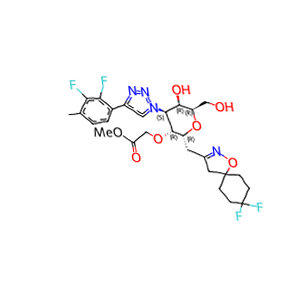 COC(=O)CO[C@@H]1[C@@H](n2cc(-c3ccc(C)c(F)c3F)nn2)[C@@H](O)[C@@H](CO)O[C@@H]1CC1=NOC2(CCC(F)(F)CC2)C1